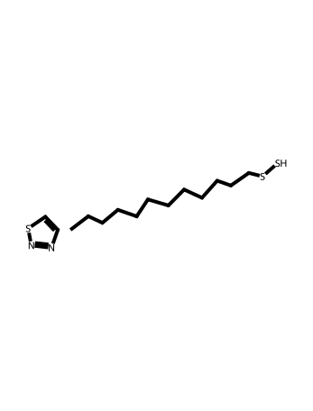 CCCCCCCCCCCCSS.c1csnn1